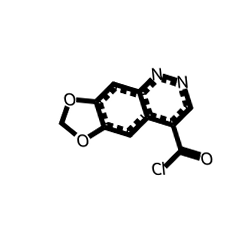 O=C(Cl)c1cnnc2cc3c(cc12)OCO3